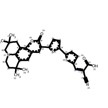 CC1(C)Cc2c3c(cc4cc(-c5ccc(-c6ccc(/C=C(/C#N)C(=O)O)s6)s5)c(=O)oc24)C(C)(C)CCN3C1